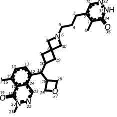 Cc1c(CCCN2CC3(CC(C(c4ccc(Cl)c5c(=O)n(C)ncc45)C4COC4)C3)C2)cn[nH]c1=O